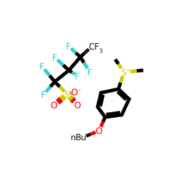 CCCCOc1ccc([S+](C)C)cc1.O=S(=O)([O-])C(F)(F)C(F)(F)C(F)(F)C(F)(F)F